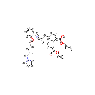 CCOC(=O)CCCCC(/C=C/c1ccccc1OCCCCCN1CCCC1)Cc1ccc(C(=O)OCC)cc1